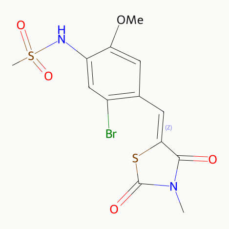 COc1cc(/C=C2\SC(=O)N(C)C2=O)c(Br)cc1NS(C)(=O)=O